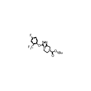 CC(C)(C)OC(=O)N1CCn2c(nnc2Oc2ccc(F)cc2C(F)(F)F)C1